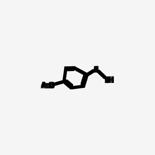 CC(=O)Oc1ccc(SS)cc1